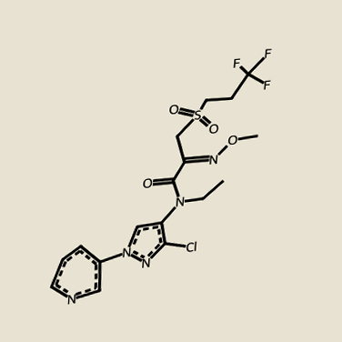 CCN(C(=O)C(CS(=O)(=O)CCC(F)(F)F)=NOC)c1cn(-c2cccnc2)nc1Cl